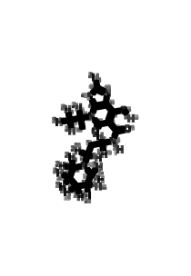 [2H]Oc1c(C(=O)N([2H])C([2H])([2H])CC([2H])([2H])N2C([2H])([2H])C([2H])([2H])C([2H])([2H])C([2H])([2H])C2([2H])[2H])c(=O)n(C([2H])(C)C([2H])([2H])[2H])c2sc([2H])nc12